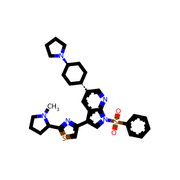 CN1CCCC1c1nc(-c2cn(S(=O)(=O)c3ccccc3)c3ncc([C@H]4CC[C@H](N5CCCC5)CC4)cc23)cs1